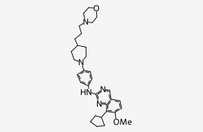 COc1ccc2cnc(Nc3ccc(N4CCC(CCCN5CCOCC5)CC4)cc3)nc2c1C1CCCC1